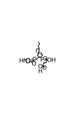 CCCCOc1ccc(F)c(COC(=O)N2CCNCC2)c1.O=C(O)/C=C/C(=O)O